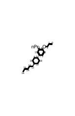 C=CCOc1ccc([C@H]2CC[C@H](CCC=CC)CC2)cc1CCC